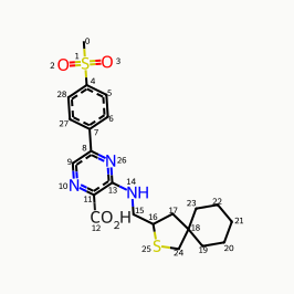 CS(=O)(=O)c1ccc(-c2cnc(C(=O)O)c(NCC3CC4(CCCCC4)CS3)n2)cc1